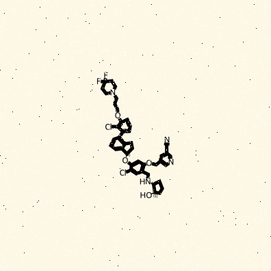 N#Cc1cncc(COc2cc(O[C@H]3CCc4c(-c5cccc(OCCCN6CCC(F)(F)CC6)c5Cl)cccc43)c(Cl)cc2CN[C@@H]2CCC[C@@H]2O)c1